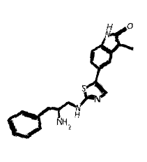 CC1C(=O)Nc2ccc(-c3cnc(NC[C@@H](N)Cc4ccccc4)s3)cc21